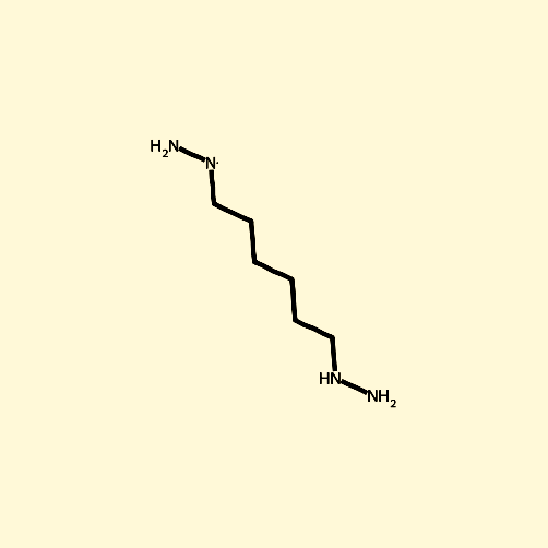 N[N]CCCCCCNN